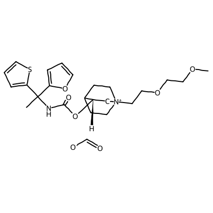 COCCOCC[N+]12CCC(CC1)[C@@H](OC(=O)NC(C)(c1ccco1)c1cccs1)C2.O=C[O-]